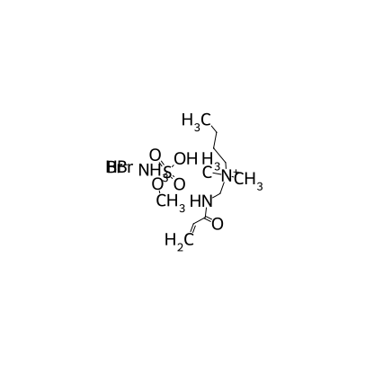 Br.C=CC(=O)NC[N+](C)(C)CCCC.COS(=O)(=O)O.N.[Br-]